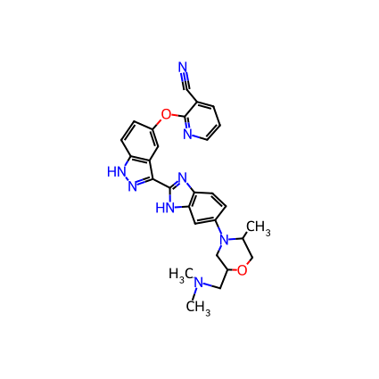 CC1COC(CN(C)C)CN1c1ccc2nc(-c3n[nH]c4ccc(Oc5ncccc5C#N)cc34)[nH]c2c1